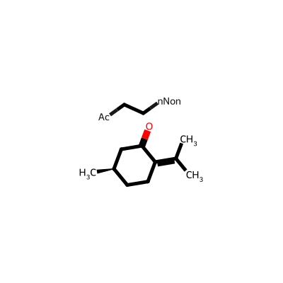 CC(C)=C1CC[C@@H](C)CC1=O.CCCCCCCCCCCC(C)=O